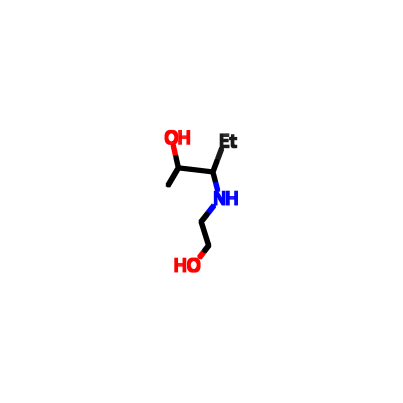 CCC(NCCO)C(C)O